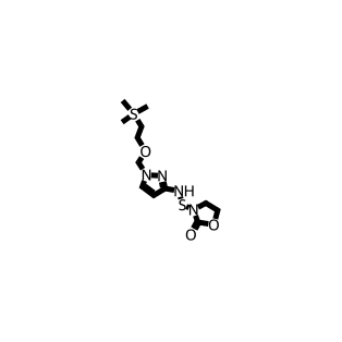 CS(C)(C)CCOCn1ccc(NSN2CCOC2=O)n1